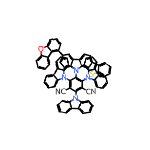 N#Cc1c(-n2c3ccccc3c3ccccc32)c(C#N)c(-n2c3ccccc3c3ccccc32)c(-n2c3ccc(-c4cccc5oc6ccccc6c45)cc3c3ccc4c5ccccc5sc4c32)c1-n1c2ccccc2c2ccccc21